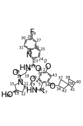 COc1ccc([C@@H](C)NC(=O)[C@@H]2C[C@@H](O)CN2C(=O)CNC(=O)c2ccc3cc(F)ccc3n2)c(OC2CC3(CCC3)C2)c1